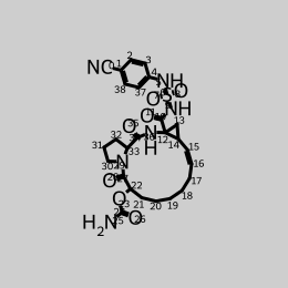 N#Cc1ccc(NS(=O)(=O)NC(=O)C23CC2/C=C\CCCCCC(OC(N)=O)C(=O)N2CCCC2C(=O)N3)cc1